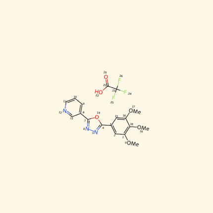 COc1cc(-c2nnc(-c3cccnc3)o2)cc(OC)c1OC.O=C(O)C(F)(F)F